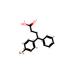 O=C(O)CCC(c1ccccc1)c1ccc(Br)cc1